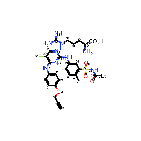 C#CCOc1ccc(Nc2nc(Nc3ccc(C)c(S(=O)(=O)NC(=O)CC)c3)ncc2F)cc1.N=C(N)NCCC[C@H](N)C(=O)O